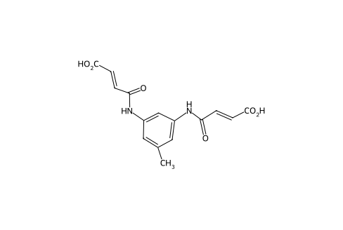 Cc1cc(NC(=O)C=CC(=O)O)cc(NC(=O)C=CC(=O)O)c1